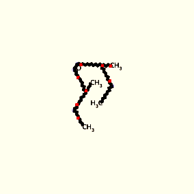 CCCCCCCCC/C=C\CCCCCCCCCC(CCCCC)CCCCCCCCCC/C=C\C(=O)/C=C\CCCCCCCCCCC(CCCCC)CCCCCCCCC/C=C\CCCCCCCCC